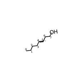 CCCC/C=[C]/CCO